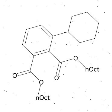 CCCCCCCCOC(=O)c1cccc(C2CCCCC2)c1C(=O)OCCCCCCCC